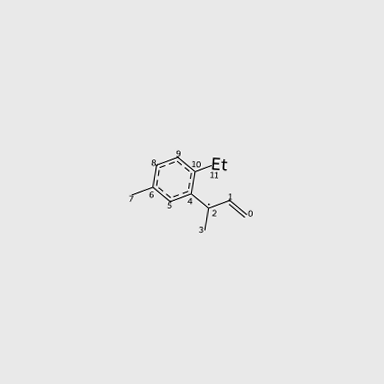 C=C[C](C)c1cc(C)ccc1CC